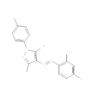 COc1cc([N+](=O)[O-])ccc1N=Nc1c(C)nn(-c2ccc(C)cc2)c1O